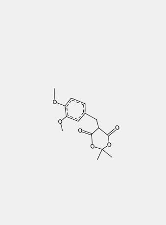 COc1ccc(CC2C(=O)OC(C)(C)OC2=O)cc1OC